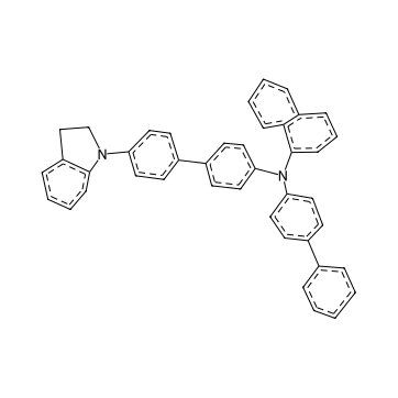 c1ccc(-c2ccc(N(c3ccc(-c4ccc(N5CCc6ccccc65)cc4)cc3)c3cccc4ccccc34)cc2)cc1